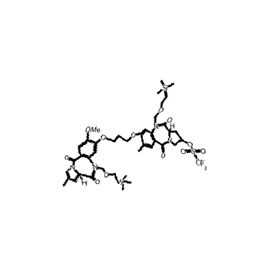 COc1cc2c(cc1OCCCOc1cc3c(cc1C)C(=O)N1CC(OS(=O)(=O)C(F)(F)F)C[C@H]1C(=O)N3COCC[Si](C)(C)C)N(COCC[Si](C)(C)C)C(=O)[C@@H]1CC(C)=CN1C2=O